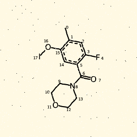 Cc1cc(F)c(C(=O)N2CCOCC2)cc1OI